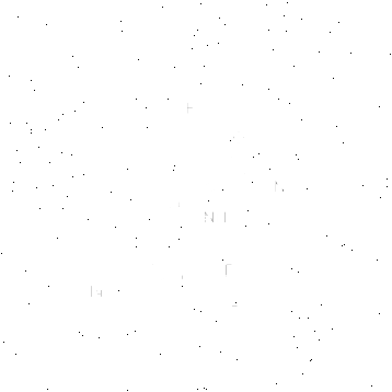 CN(C)Cc1cc(NC(=O)CCc2cc(Br)ccc2OCC(F)F)cc(F)c1OC(CF)CF